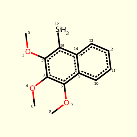 COc1c(OC)c(OC)c2ccccc2c1[SiH3]